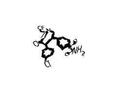 NS(=O)(=O)c1ccc(-c2cnn(CC(F)(F)F)c(=O)c2-c2ccc(Cl)cc2)cc1